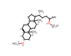 CC(C)C(CC[C@@H](C)C1CCC2C3CC=C4C[C@@H](OS(=O)(=O)O)CCC4(C)C3CCC21C)OS(=O)(=O)O